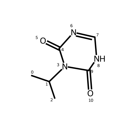 CC(C)n1c(=O)nc[nH]c1=O